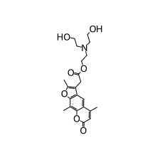 Cc1oc2c(C)c3oc(=O)cc(C)c3cc2c1CC(=O)OCCN(CCO)CCO